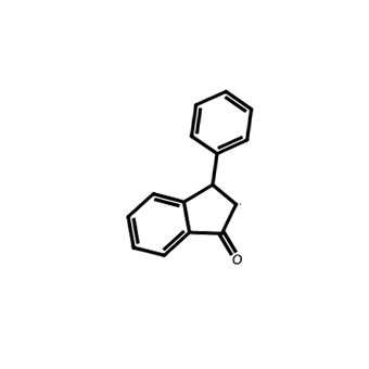 O=C1[CH]C(c2ccccc2)c2ccccc21